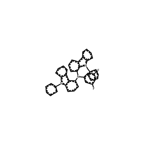 Fc1cc(F)cc(N(c2cccc3c2c2ccccc2n3-c2ccccc2)c2cccc3c4ccccc4n(-c4ccccc4)c23)c1